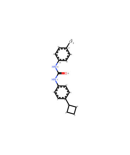 O=C(Nc1ccc(C2CCC2)cc1)Nc1ccc(C(F)(F)F)cc1